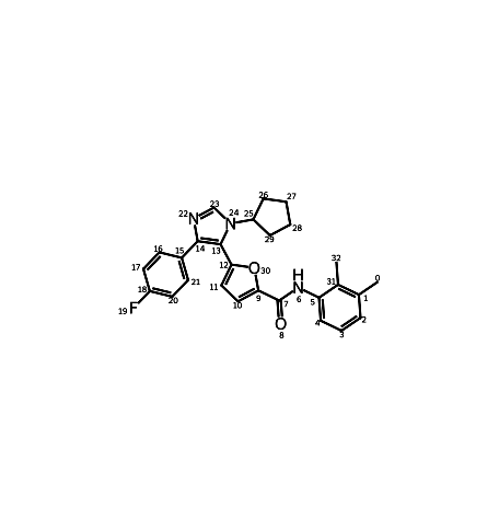 Cc1cccc(NC(=O)c2ccc(-c3c(-c4ccc(F)cc4)ncn3C3CCCC3)o2)c1C